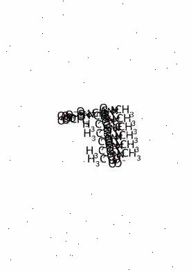 CCCCS(=O)(=O)CC[n+]1ccn(CC)c1.CCCCS(=O)(=O)CC[n+]1ccn(CC)c1.CCCCS(=O)(=O)CC[n+]1ccn(CC)c1.CCCCS(=O)(=O)CC[n+]1ccn(CC)c1.CCCCS(=O)(=O)CC[n+]1ccn(CC)c1.CCCCS(=O)(=O)CC[n+]1ccn(CC)c1.CCCCS(=O)(=O)CC[n+]1ccn(CC)c1.O=C([O-])C(=O)[O-].O=C([O-])C(=O)[O-].[O-]B([O-])[O-]